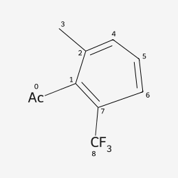 CC(=O)c1c(C)cccc1C(F)(F)F